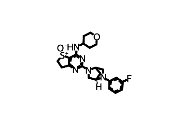 [O-][S+]1CCc2nc(N3C[C@H]4CC3CN4c3cccc(F)c3)nc(NC3CCOCC3)c21